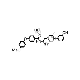 COc1ccc(Oc2ccc(C(=O)NC(CN3CCN(c4cccc(O)c4)[C@@H](C)C3)C(C)C)cc2)cc1.Cl.Cl